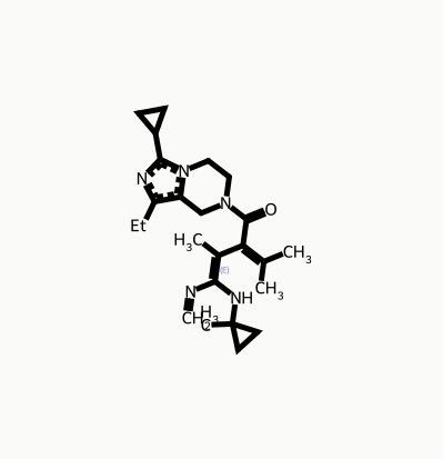 C=N/C(NC1(C)CC1)=C(\C)C(C(=O)N1CCn2c(C3CC3)nc(CC)c2C1)=C(C)C